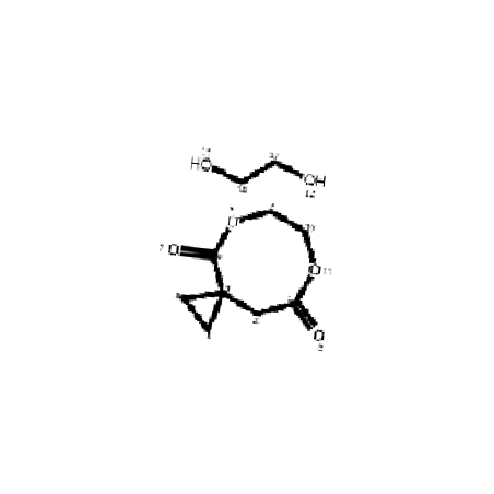 O=C1CC2(CC2)C(=O)OCCO1.OCCO